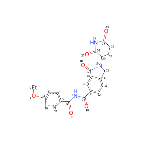 CCOc1ccc(C(=O)NC(=O)c2ccc3c(c2)C(=O)N(C2CCC(=O)NC2=O)C3)nc1